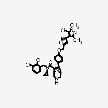 Cc1nn(C)c(Cl)c1-c1cc(COc2ccc(C3=C(C(=O)N(Cc4cccc(Cl)c4Cl)C4CC4)C4CNCC(C3)N4)cc2)on1